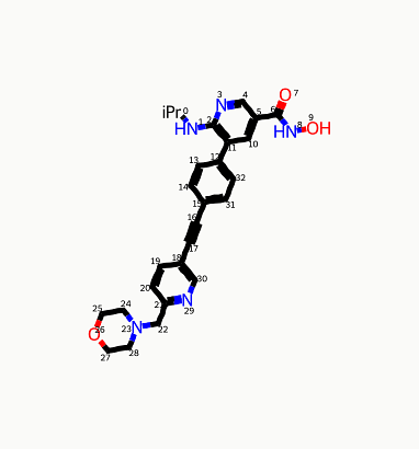 CC(C)Nc1ncc(C(=O)NO)cc1-c1ccc(C#Cc2ccc(CN3CCOCC3)nc2)cc1